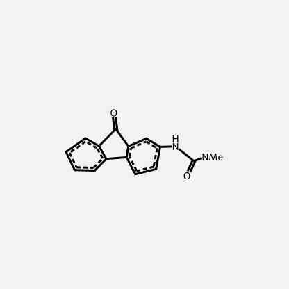 CNC(=O)Nc1ccc2c(c1)C(=O)c1ccccc1-2